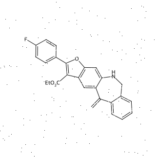 C=C1c2ccccc2CNc2cc3oc(-c4ccc(F)cc4)c(C(=O)OCC)c3cc21